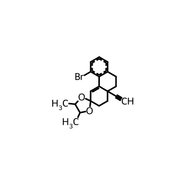 C#CC12CCc3cccc(Br)c3C1=CC1(CC2)OC(C)C(C)O1